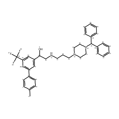 Cc1ccc(-c2cc(C(O)CNCCCN3CCN(C(c4ccccc4)c4ccccc4)CC3)cc(C(F)(F)F)n2)cc1